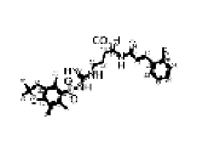 Cc1c(C)c(S(=O)(=O)NC(=N)NCCC[C@H](NC(=O)C=Cc2ccccc2F)C(=O)O)c(C)c2c1OC(C)(C)C2